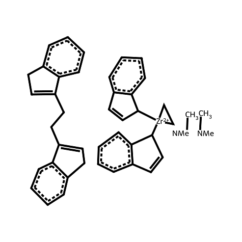 C1=C(CCC2=CCc3ccccc32)c2ccccc2C1.C1=C[CH]([Zr+2]2([CH]3C=Cc4ccccc43)[CH2][CH2]2)c2ccccc21.C[N-]C.C[N-]C